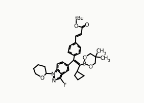 CC1(C)COB(C(=C(c2ccc(C=CC(=O)OC(C)(C)C)cc2)c2ccc3c(c2)c(F)nn3C2CCCCO2)C2CCC2)OC1